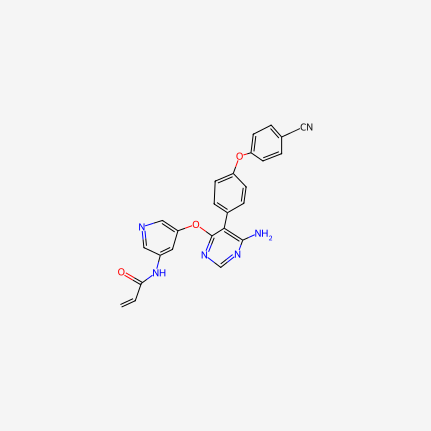 C=CC(=O)Nc1cncc(Oc2ncnc(N)c2-c2ccc(Oc3ccc(C#N)cc3)cc2)c1